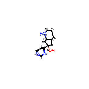 OC1(c2ccncn2)CC2CCCNC2C1